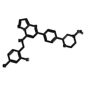 CN1CCOC(c2ccc(-c3cc(NCc4ccc(Cl)cc4Cl)n4nccc4n3)cc2)C1